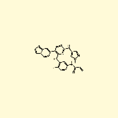 C=CC(=O)Nc1ccc(F)c(Nc2nc(Nc3cnn(C)c3)ncc2-c2ccn3ccnc3c2)c1